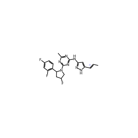 C/C=C/c1cc(Nc2nc(C)nc(N3CC(F)CC3c3ccc(F)cc3F)n2)n[nH]1